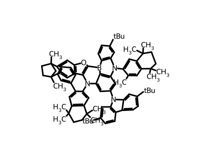 Cc1cc2c(cc1N1c3cc(C(C)(C)C)ccc3B3c4oc5cc6c(cc5c4N(c4cc5c(cc4-c4ccccc4)C(C)(C)CCC5(C)C)c4cc(-n5c7cc(C(C)(C)C)ccc7c7ccc(C(C)(C)C)cc75)cc1c43)C1(C)CCC6(C)C1)C(C)(C)CCC2(C)C